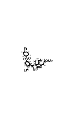 CCOc1ncc(S(=O)(=O)N2CCN(CC)CC2)cc1C(=O)Nc1c(CC)nn(CCOC)c1C(N)=O